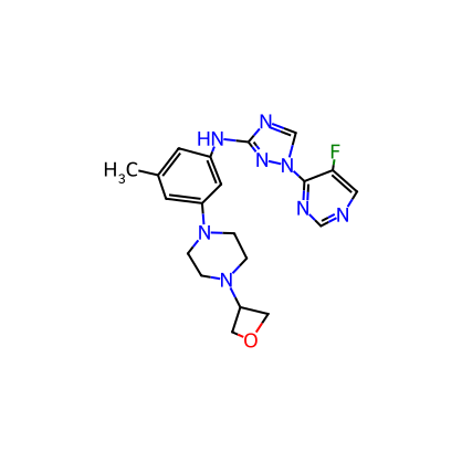 Cc1cc(Nc2ncn(-c3ncncc3F)n2)cc(N2CCN(C3COC3)CC2)c1